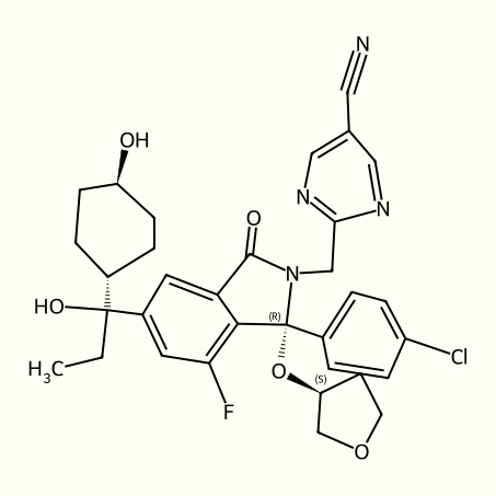 CCC(O)(c1cc(F)c2c(c1)C(=O)N(Cc1ncc(C#N)cn1)[C@@]2(O[C@H]1CCOC1)c1ccc(Cl)cc1)[C@H]1CC[C@H](O)CC1